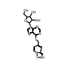 OCC1OC(n2cnc3c(SCC4=CC5=CNON5C=C4)ncnc32)C(O)C1O